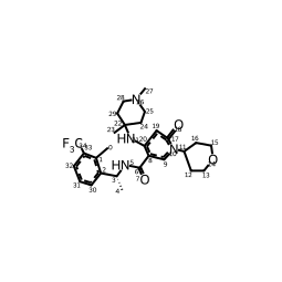 Cc1c([C@@H](C)NC(=O)c2cn(C3CCOCC3)c(=O)cc2NC2(C)CCN(C)CC2)cccc1C(F)(F)F